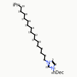 CCCCCCCCCCn1cc[n+](CCCCCCCCCCCCCCCCC(C)C)c1